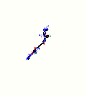 NC1(C(=O)N[C@@H](CCN2CCN(C(=O)CCCCCCCNC(=O)c3ccc(NC(=O)CNCCn4ccnn4)c(Cl)n3)CC2)c2ccc(Cl)cc2)CCN(c2ncnc3[nH]ccc23)CC1